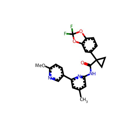 COc1ccc(-c2cc(C)cc(NC(=O)C3(c4ccc5c(c4)OC(F)(F)O5)CC3)n2)cn1